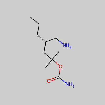 CCC[C@H](CN)CC(C)(C)OC(N)=O